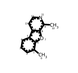 Cc1cccc2c1oc1c(C)nccc12